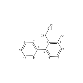 Cc1cccc(-c2ccccc2)c1CCl